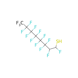 FC(S)C(F)C(F)(F)C(F)(F)C(F)(F)C(F)(F)C(F)(F)C(F)(F)F